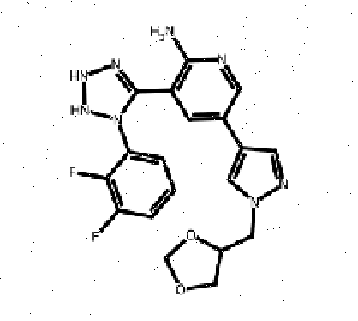 Nc1ncc(-c2cnn(CC3COCO3)c2)cc1C1=NNNN1c1cccc(F)c1F